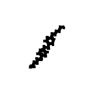 CCCC/C=C/C1CCC(CCC2CCC(OCCCCC)CC2)CC1